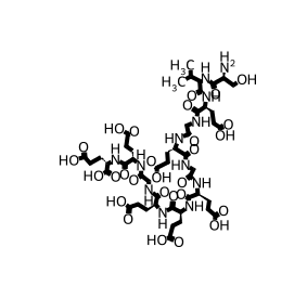 CC(C)[C@H](NC(=O)[C@@H](N)CO)C(=O)N[C@@H](CCC(=O)O)C(=O)NCC(=O)N[C@@H](CCC(=O)O)C(=O)NCC(=O)N[C@@H](CCC(=O)O)C(=O)N[C@@H](CCC(=O)O)C(=O)N[C@@H](CCC(=O)O)C(=O)NCC(=O)N[C@@H](CCC(=O)O)C(=O)N[C@@H](CCC(=O)O)C(=O)O